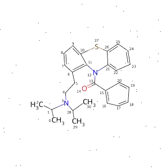 CC(C)N(CCc1cccc2c1N(C(=O)c1ccccc1)c1ccccc1S2)C(C)C